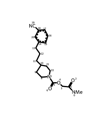 CNC(=O)COC(=O)N1CCC(CCCc2cccc(C#N)c2)CC1